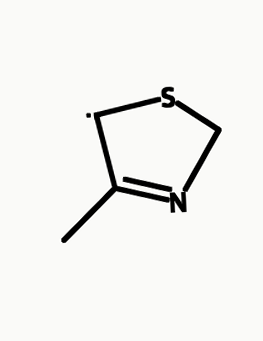 CC1=NCS[CH]1